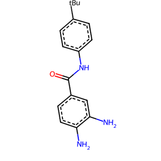 CC(C)(C)c1ccc(NC(=O)c2ccc(N)c(N)c2)cc1